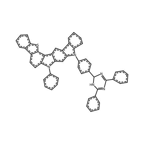 c1ccc(C2=NC(c3ccc(-n4c5ccccc5c5cc6c7c8sc9ccccc9c8ccc7n(-c7ccccc7)c6cc54)cc3)NC(c3ccccc3)=N2)cc1